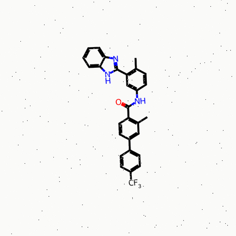 Cc1cc(-c2ccc(C(F)(F)F)cc2)ccc1C(=O)Nc1ccc(C)c(-c2nc3ccccc3[nH]2)c1